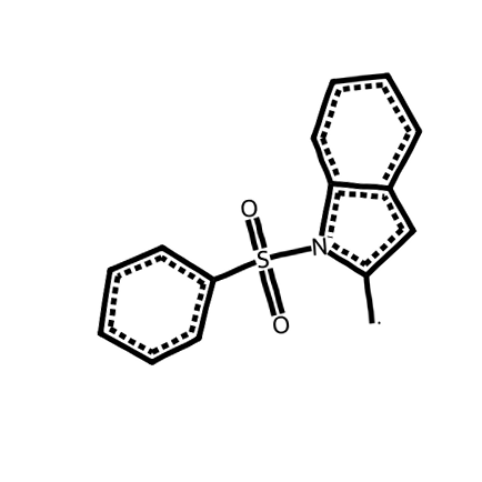 [CH2]c1cc2ccccc2n1S(=O)(=O)c1ccccc1